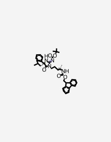 CC(C)C[C@]1(c2ccccc2)N/C(=N\C(=O)OC(C)(C)C)N(CCC[C@H](C)NC(=O)OCC2c3ccccc3-c3ccccc32)C1=O